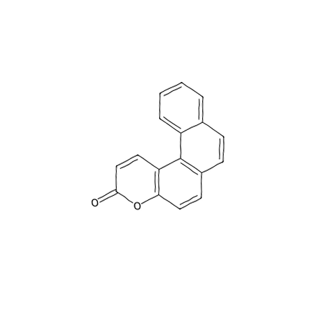 O=c1ccc2c(ccc3ccc4ccccc4c32)o1